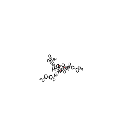 NC1(C(=O)N2CCN(C(=O)c3ccc(-c4cccc(OC5CC5)c4)cc3)CC2)COC1(c1cc[c]cc1-c1ccc(C(=O)N2CCN(C(=O)C3(O)COC3)CC2)cc1)C1OCC1(O)C(=O)N1CCN(C(=O)c2ccc(-c3cccc(OC4CC4)c3)cc2)CC1